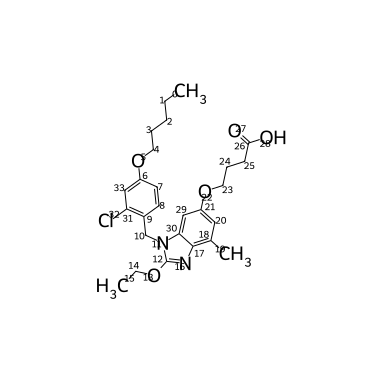 CCCCCOc1ccc(Cn2c(OCC)nc3c(C)cc(OCCCC(=O)O)cc32)c(Cl)c1